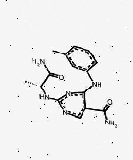 Cc1cccc(Nc2nc(N[C@H](C)C(N)=O)ncc2C(N)=O)c1